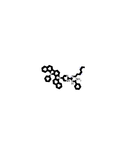 C/C=C\C=C/CC/N=C(\NC(N)c1ccccc1)C1N=CC(n2c3ccc4c5ccc6ccccc6c5n(-c5ccccc5)c4c3c3ccc4ccccc4c32)=CN1